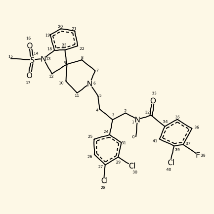 CN(CC(CCN1CCC2(CC1)CN(S(C)(=O)=O)c1ccccc12)c1ccc(Cl)c(Cl)c1)C(=O)c1ccc(F)c(Cl)c1